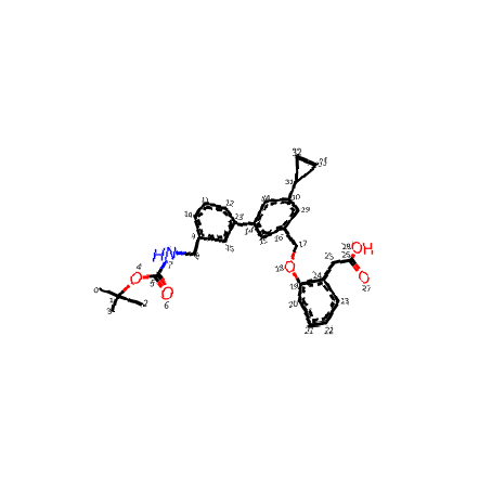 CC(C)(C)OC(=O)NCc1cccc(-c2cc(COc3ccccc3CC(=O)O)cc(C3CC3)c2)c1